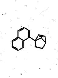 [CH]1CC2C=CC1(c1cccc3ccccc13)C2